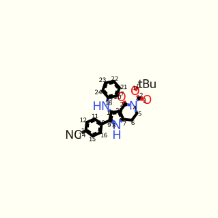 CC(C)(C)OC(=O)N1CCc2[nH]c(-c3ccc(C#N)cc3)c(Nc3ccccc3)c2C1=O